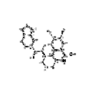 CN(C(=O)c1ccc2nc[nH]c2c1)[C@@H]1COCc2[nH]c(=O)c3cc(F)c(F)cc3c21